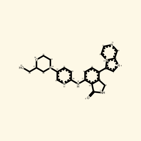 O=C1NCc2c(-c3cnc4cnccn34)ccc(Nc3ccc(N4CCOC(CO)C4)cn3)c21